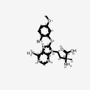 COc1ccc(Br)c(Sc2nc3c(N)ncnc3n2CC[C@@](C)(N)C(=O)O)c1